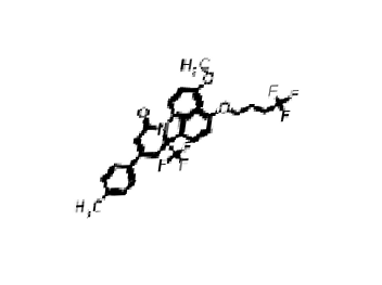 COc1ccc(N2C(=O)C=C(c3ccc(C)cc3)C[C@]2(c2ccc(OCCCC(F)(F)F)cc2)C(F)(F)F)cc1